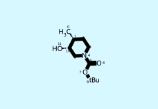 C[C@@H]1CCN(C(=O)OC(C)(C)C)C[C@@H]1O